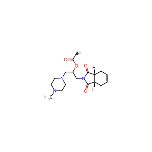 CC(C)C(=O)OC(CN1CCN(C)CC1)CN1C(=O)[C@H]2CC=CC[C@H]2C1=O